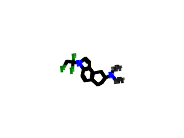 CCCN(CCC)C1CCc2ccc3c(ccn3C(F)(F)CF)c2C1